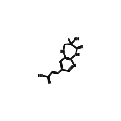 CC1(O)CNc2cc(C=CC(=O)O)cnc2NC1=O